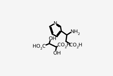 NC(CC(=O)O)c1cccnc1.O=C(O)C(O)C(O)C(=O)O